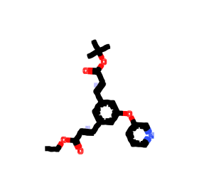 CCOC(=O)/C=C/c1cc(/C=C/C(=O)OC(C)(C)C)cc(Oc2cccnc2)c1